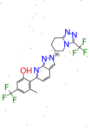 Cc1cc(C(F)(F)F)cc(O)c1-c1ccc2cn([C@@H]3CCc4nnc(C(F)(F)F)n4C3)nc2n1